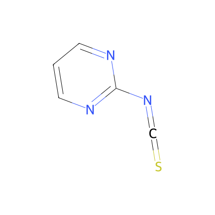 S=C=Nc1ncccn1